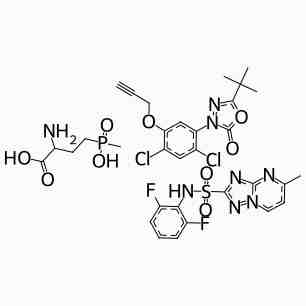 C#CCOc1cc(-n2nc(C(C)(C)C)oc2=O)c(Cl)cc1Cl.CP(=O)(O)CCC(N)C(=O)O.Cc1ccn2nc(S(=O)(=O)Nc3c(F)cccc3F)nc2n1